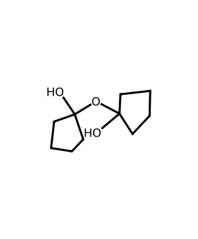 OC1(OC2(O)CCCC2)CCCC1